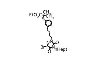 CCCCCCCn1c(=O)c(Br)nn(CCCCc2cccc(SC(C)(C)C(=O)OCC)c2)c1=O